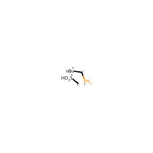 CCCCCP.CS(=O)(=O)O